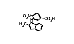 Cc1cc2ccccc2[nH]1.O=C(O)c1ccc([N+](=O)[O-])cc1